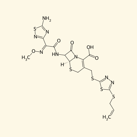 C=CCSc1nnc(SCC2=C(C(=O)O)N3C(=O)C(NC(=O)C(=NOC)c4nsc(N)n4)[C@@H]3SC2)s1